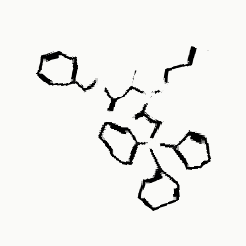 C=CCON(C(=O)C[P+](c1ccccc1)(c1ccccc1)c1ccccc1)[C@H](C)C(=O)OCc1ccccc1.[Br-]